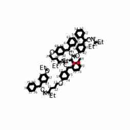 CCOc1ccc(C(=C=NC(CC)CCCOc2ccc(C(=C=NC(CC)CCCOc3ccc(C(=C=NC(CC)CCCOc4ccc(C(=C=NC(CC)CC)c5ccccc5)cc4)c4ccccc4)cc3)c3ccccc3)cc2)c2ccccc2)cc1